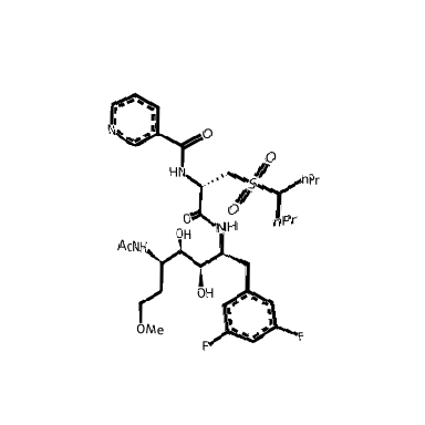 CCCC(CCC)S(=O)(=O)C[C@@H](NC(=O)c1cccnc1)C(=O)N[C@@H](Cc1cc(F)cc(F)c1)[C@@H](O)[C@H](O)[C@@H](CCOC)NC(C)=O